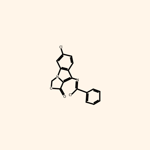 O=C1OCn2c1c(/N=C(\Cl)c1ccccc1)c1ccc(Cl)cc12